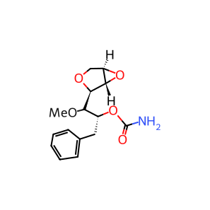 COC([C@H]1OC[C@H]2O[C@H]12)[C@@H](Cc1ccccc1)OC(N)=O